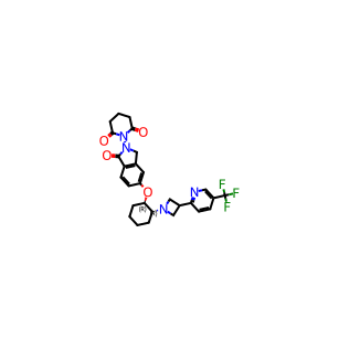 O=C1c2ccc(O[C@@H]3CCCC[C@H]3N3CC(c4ccc(C(F)(F)F)cn4)C3)cc2CN1N1C(=O)CCCC1=O